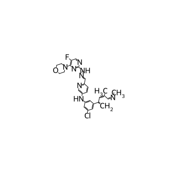 C=C(/C=C(C)\C=N/C)c1cc(Cl)cc(Nc2ccc(/C=N/Nc3ncc(F)c(N4CCOCC4)n3)nc2)c1